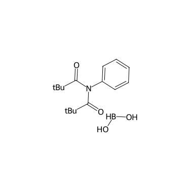 CC(C)(C)C(=O)N(C(=O)C(C)(C)C)c1ccccc1.OBO